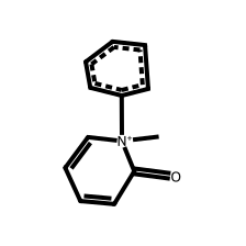 C[N+]1(c2ccccc2)C=CC=CC1=O